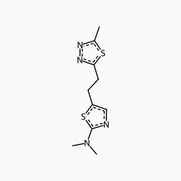 Cc1nnc(CCc2cnc(N(C)C)s2)s1